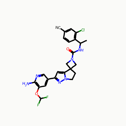 CC(NC(=O)N1CC2(CCn3nc(-c4cnc(N)c(OC(F)F)c4)cc32)C1)c1ccc(C#N)cc1Cl